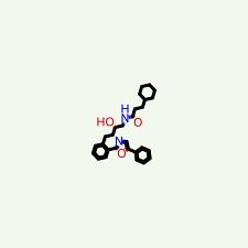 O=C(CCC1CCCCC1)NCC(O)CCc1ccccc1-c1ncc(-c2ccccc2)o1